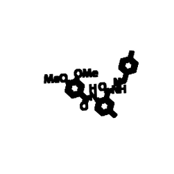 COc1ccc(C(=O)Nc2ccc(C)cc2C(=O)NN=Cc2ccc(C)cc2)cc1OC